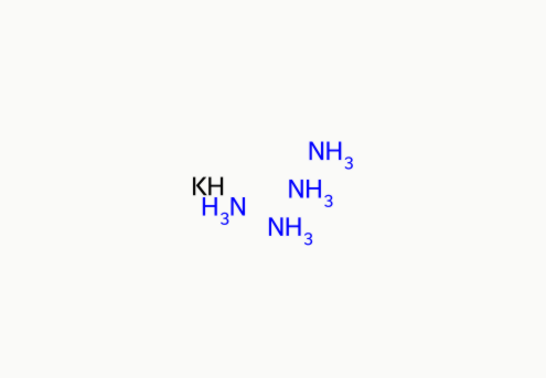 N.N.N.N.[KH]